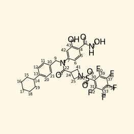 O=C(NO)c1ccc(N(Cc2ccc(C3CCCCC3)cc2)C(=O)C2CN(S(=O)(=O)c3c(F)c(F)c(F)c(F)c3F)C2)cc1O